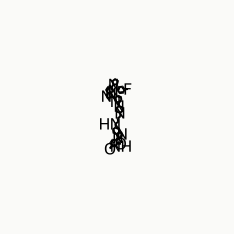 O=C1CCC(n2cnc3cc(NCCCN4CCN(c5cccc(-c6cnc7ccc(N8CCC[C@@H]8c8cccc(F)c8)nn67)n5)CC4)ccc32)C(=O)N1